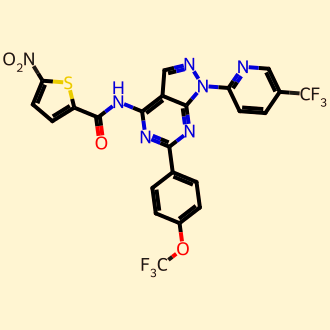 O=C(Nc1nc(-c2ccc(OC(F)(F)F)cc2)nc2c1cnn2-c1ccc(C(F)(F)F)cn1)c1ccc([N+](=O)[O-])s1